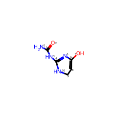 NC(=O)NC1=NC(O)=CCN1